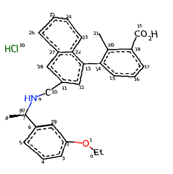 CCOc1cccc([C@@H](C)NCc2cc(-c3cccc(C(=O)O)c3C)c3ccccc3c2)c1.Cl